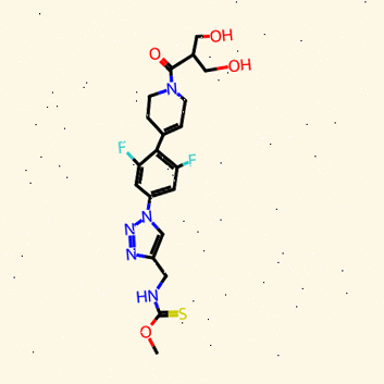 COC(=S)NCc1cn(-c2cc(F)c(C3=CCN(C(=O)C(CO)CO)CC3)c(F)c2)nn1